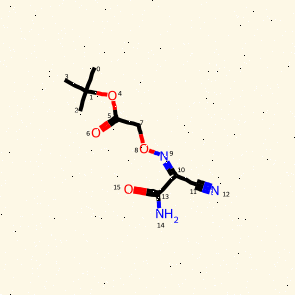 CC(C)(C)OC(=O)CON=C(C#N)C(N)=O